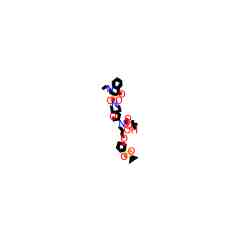 CCn1cc(S(=O)(=O)N2CCC3(CC2)C[C@@H](N(C[C@H](O)COc2cccc(S(=O)(=O)C4CC4)c2)C(=O)OC(C)(C)C)CO3)c(=O)c2ccccc21